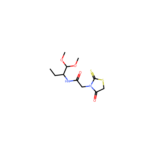 CCC(NC(=O)CN1C(=O)CSC1=S)C(OC)OC